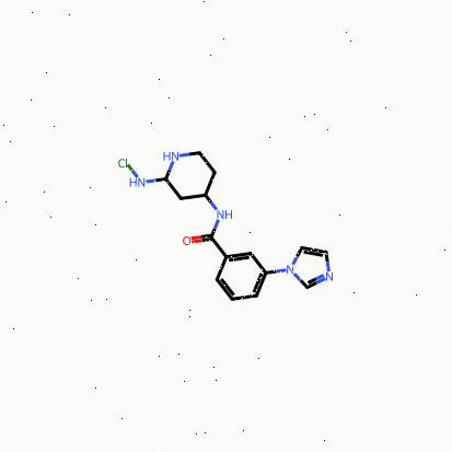 O=C(NC1CCNC(NCl)C1)c1cccc(-n2ccnc2)c1